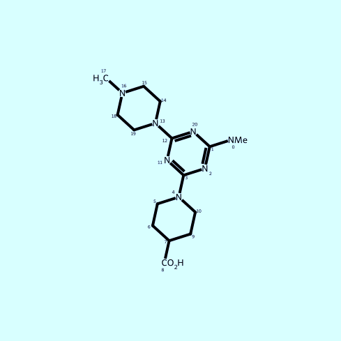 CNc1nc(N2CCC(C(=O)O)CC2)nc(N2CCN(C)CC2)n1